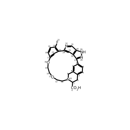 O=C(O)C1Cc2ccc3cc2CN1CCOCCOc1ccc(F)c(c1)-c1cc2c-3n[nH]c2cn1